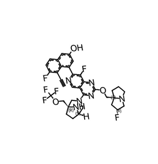 C#Cc1c(F)ccc2cc(O)cc(-c3ncc4c(N5C[C@@H]6CC[C@](COC(F)(F)F)(C5)N6)nc(OC[C@@]56CCCN5C[C@H](F)C6)nc4c3F)c12